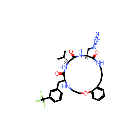 CC(C)[C@H]1NC(=O)C(Cc2cccc(C(F)(F)F)c2)NCCOc2ccccc2CCCNC(=O)[C@H](CN=[N+]=[N-])NC1=O